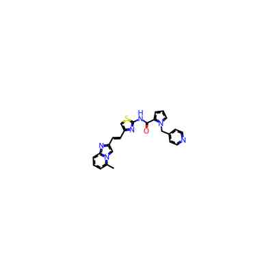 Cc1cccc2nc(C=Cc3csc(NC(=O)c4cccn4Cc4ccncc4)n3)cn12